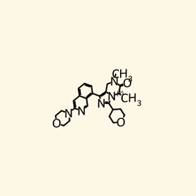 C[C@@H]1C(=O)N(C)Cc2c(-c3cccc4cc(N5CCOCC5)ncc34)nc(C3CCOCC3)n21